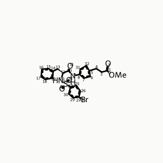 COC(=O)CCc1ccc(NC(=O)[C@H](Cc2ccccc2)NS(=O)(=O)c2ccc(Br)cc2)cc1